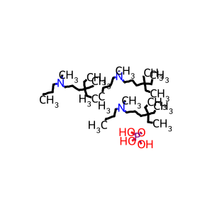 CCCCN(C)CCCC(CC)(CC)CC.CCCCN(C)CCCC(CC)(CC)CC.CCCCN(C)CCCC(CC)(CC)CC.O=P(O)(O)O